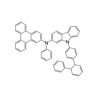 C1=CC(c2ccccc2)C(c2ccc(-n3c4ccccc4c4ccc(N(c5ccccc5)c5ccc6c7ccccc7c7ccccc7c6c5)cc43)cc2)C=C1